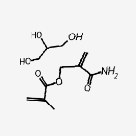 C=C(C)C(=O)OCC(=C)C(N)=O.OCC(O)CO